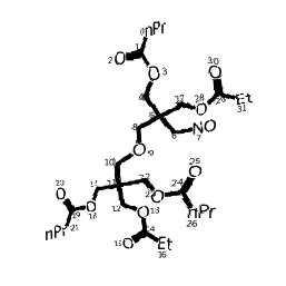 CCCC(=O)OCC(CN=O)(COCC(COC(=O)CC)(COC(=O)CCC)COC(=O)CCC)COC(=O)CC